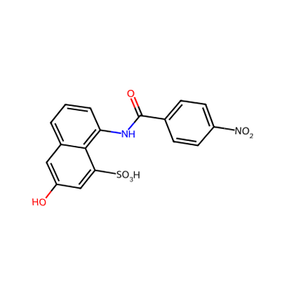 O=C(Nc1cccc2cc(O)cc(S(=O)(=O)O)c12)c1ccc([N+](=O)[O-])cc1